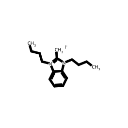 CCCCn1c(C)[n+](CCCC)c2ccccc21.[I-]